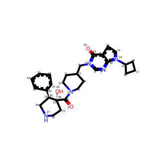 O=C(N1CCC(Cn2cnc3c(ccn3C3CCC3)c2=O)CC1)[C@@]1(O)CCNC[C@H]1c1ccccc1